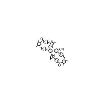 Cc1coc(N2CCN(C(=O)c3cc(CN4CCN(c5cc(-c6cn(C)c(N7CCN(C(=O)c8cc(CN9CCN(c%10ccccc%10C#N)CC9)c(C)cc8C)CC7)n6)ccc5C#N)CC4)c(C)cc3C)CC2)n1